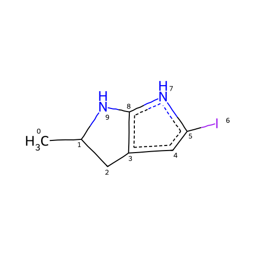 CC1Cc2cc(I)[nH]c2N1